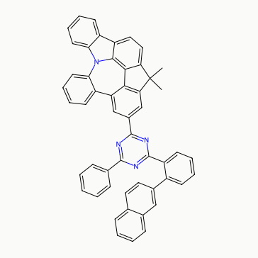 CC1(C)c2cc(-c3nc(-c4ccccc4)nc(-c4ccccc4-c4ccc5ccccc5c4)n3)cc3c2-c2c1ccc1c4ccccc4n(c21)-c1ccccc1-3